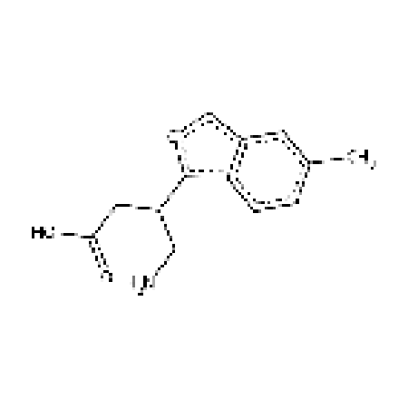 Cc1ccc2c(C(CN)CC(=O)O)occ2c1